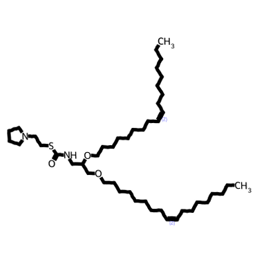 CCCCCCCC/C=C\CCCCCCCCOCC(CNC(=O)SCCN1CCCC1)OCCCCCCCC/C=C\CCCCCCCC